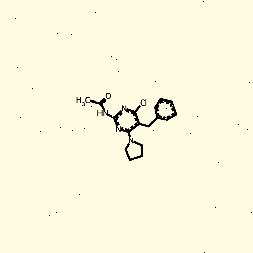 CC(=O)Nc1nc(Cl)c(Cc2ccccc2)c(N2CCCC2)n1